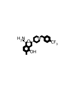 Cc1ccc2c(c1O)C[C@@H](C1CCN(Cc3ccc(C(F)(F)F)cc3)CC1)O[C@H]2CN